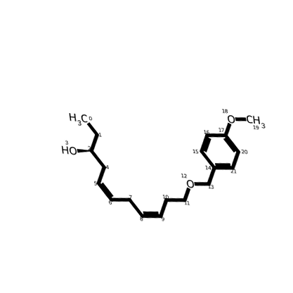 CC[C@H](O)C/C=C\C/C=C\CCOCc1ccc(OC)cc1